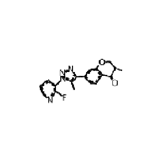 Cc1c(-c2ccc3c(c2)OC[C@@H](C)C3=O)nnn1-c1cccnc1F